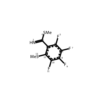 CSC(=N)c1c(F)c(F)c(F)c(F)c1SC